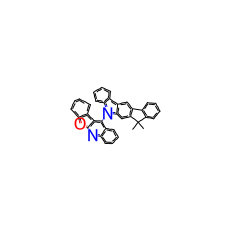 CC1(C)c2ccccc2-c2cc3c4ccccc4n(-c4c5ccccc5nc5oc6ccccc6c45)c3cc21